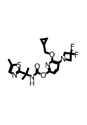 Cc1cnc(C(C)(C)NC(=O)Oc2ccc(N3CC(F)(F)C3)c(OCC3CC3)n2)s1